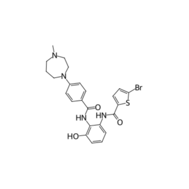 CN1CCCN(c2ccc(C(=O)Nc3c(O)cccc3NC(=O)c3ccc(Br)s3)cc2)CC1